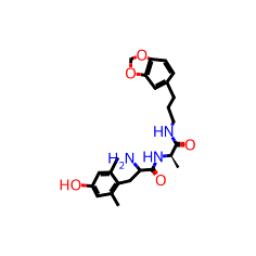 Cc1cc(O)cc(C)c1CC(N)C(=O)N[C@H](C)C(=O)NCCCc1ccc2c(c1)OCO2